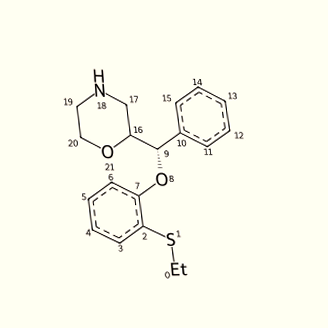 CCSc1ccccc1O[C@@H](c1ccccc1)C1CNCCO1